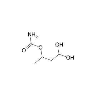 CC(CC(O)O)OC(N)=O